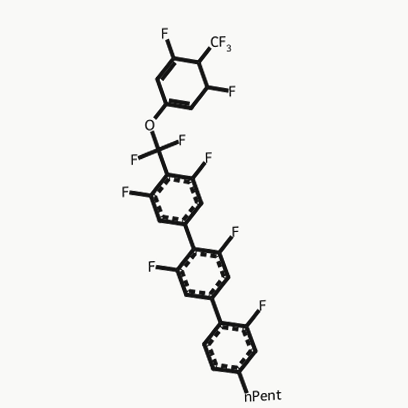 CCCCCc1ccc(-c2cc(F)c(-c3cc(F)c(C(F)(F)OC4=CC(F)C(C(F)(F)F)C(F)=C4)c(F)c3)c(F)c2)c(F)c1